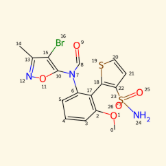 COc1cccc(N(C=O)c2onc(C)c2Br)c1-c1sccc1S(N)(=O)=O